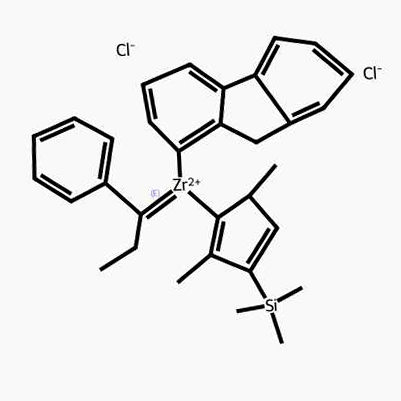 CC/[C](c1ccccc1)=[Zr+2](\[C]1=C(C)C([Si](C)(C)C)=CC1C)[c]1cccc2c1Cc1ccccc1-2.[Cl-].[Cl-]